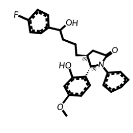 COc1ccc([C@@H]2[C@@H](CCCC(O)c3ccc(F)cc3)CC(=O)N2c2ccccc2)c(O)c1